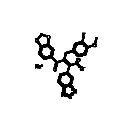 COc1ccc(CC(C(=O)c2ccc3c(c2)OCO3)=C(C(=O)[O-])c2ccc3nsnc3c2)cc1F.[Na+]